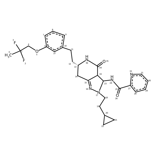 CC(F)(F)COc1cccc(CC[C@H]2CC3=NN(CCC4CC4)C(NC(=O)c4ccccn4)C3C(=O)N2)c1